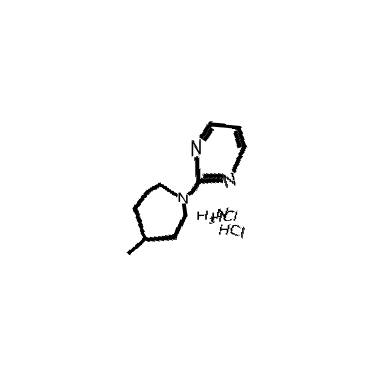 CC1CCN(c2ncccn2)CC1.Cl.Cl.N